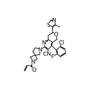 C=CC(=O)N1CC2(CCN(c3nc4c(c(-c5c(F)cccc5Cl)c3C#N)COC(c3scnc3C)C4)C2)C1